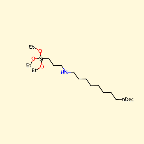 CCCCCCCCCCCCCCCCCCNCCC[Si](OCC)(OCC)OCC